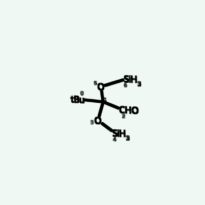 CC(C)(C)C(C=O)(O[SiH3])O[SiH3]